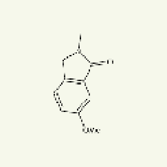 COc1ccc2c(c1)C(=O)N(C)C2